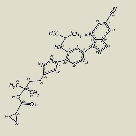 CC(C)Nc1cc(-n2ncc3cc(C#N)cnc32)ncc1-n1cc(CCC(C)(C)OC(=O)C2CC2)nn1